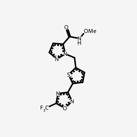 CONC(=O)c1ccnn1Cc1ccc(-c2noc(C(F)(F)F)n2)s1